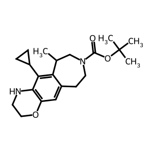 CC1CN(C(=O)OC(C)(C)C)CCc2cc3c(c(C4CC4)c21)NCCO3